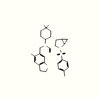 Cc1ccc(S(=O)(=O)N2[C@@H]3C[C@@H]3C[C@H]2C(=O)N(Cc2cc3c(cc2F)CCO3)C2CCC(F)(F)CC2)cc1